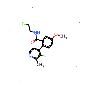 COc1ccc(-c2ccnc(C)c2F)c(C(=O)NCCF)c1